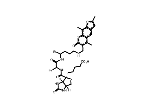 CCCC(NC(=O)[C@@]1(CCCCC(=O)O)SC[C@@H]2NC(=O)N[C@@H]21)C(=O)NC(CC)CCCNCc1c(C)c2cc3cc(C)oc3c(C)c2oc1=O